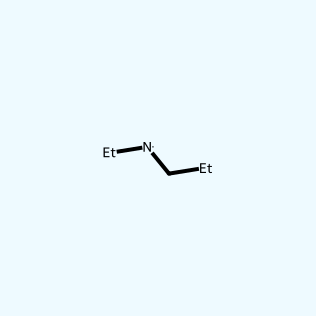 CCC[N]CC